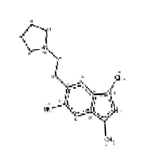 Cc1nn(C)c2nc(CCN3CCCC3)c(C#N)cc12